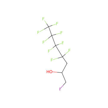 OC(CI)CC(F)(F)C(F)(F)C(F)(F)C(F)(F)F